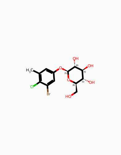 Cc1cc(O[C@@H]2O[C@H](CO)[C@@H](O)[C@H](O)[C@H]2O)cc(Br)c1Cl